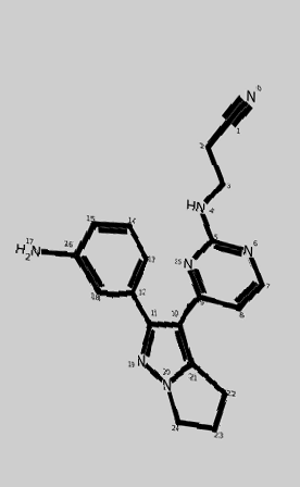 N#CCCNc1nccc(-c2c(-c3cccc(N)c3)nn3c2CCC3)n1